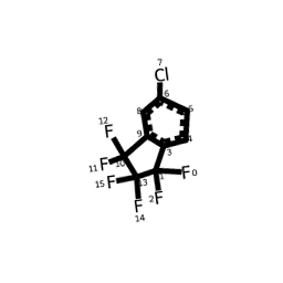 FC1(F)c2ccc(Cl)cc2C(F)(F)C1(F)F